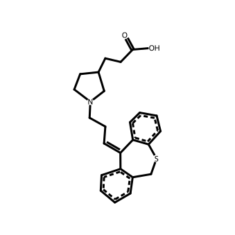 O=C(O)CCC1CCN(CCC=C2c3ccccc3CSc3ccccc32)C1